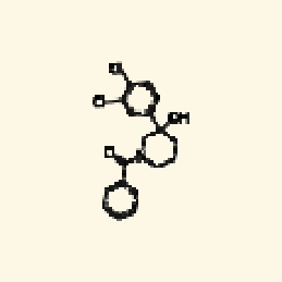 O=C(c1ccccc1)N1CCCC(O)(c2ccc(Cl)c(Cl)c2)C1